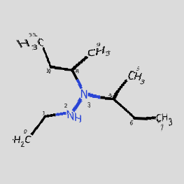 [CH2]CNN(C(C)CC)C(C)CC